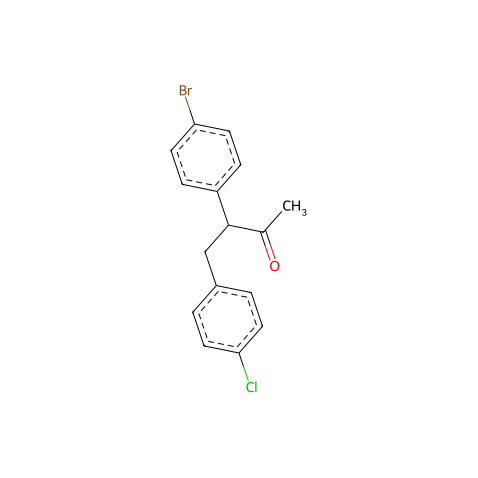 CC(=O)C(Cc1ccc(Cl)cc1)c1ccc(Br)cc1